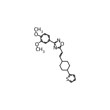 COc1ccc(-c2noc(C=CC3CCC(c4cccs4)CC3)n2)cc1OC